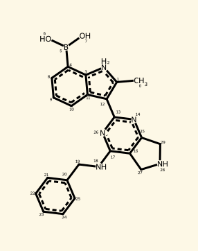 Cc1[nH]c2c(B(O)O)cccc2c1-c1nc2c(c(NCc3ccccc3)n1)CNC2